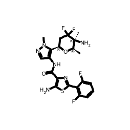 C[C@H]1O[C@@H](c2c(NC(=O)c3nc(-c4c(F)cccc4F)sc3N)cnn2C)CC(F)(F)[C@@]1(C)N